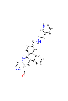 O=CC1NC=Cc2nc(-c3ccc(CNCCc4cccnc4)cc3)c(-c3ccccc3)cc21